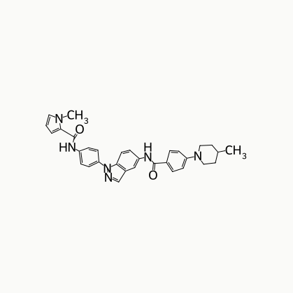 CC1CCN(c2ccc(C(=O)Nc3ccc4c(cnn4-c4ccc(NC(=O)c5cccn5C)cc4)c3)cc2)CC1